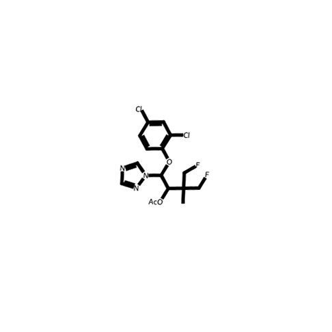 CC(=O)OC(C(Oc1ccc(Cl)cc1Cl)n1cncn1)C(C)(CF)CF